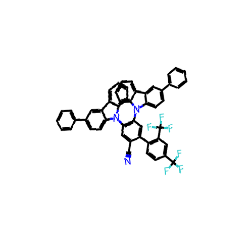 N#Cc1cc(-n2c3ccccc3c3cc(-c4ccccc4)ccc32)c(-n2c3ccccc3c3cc(-c4ccccc4)ccc32)cc1-c1ccc(C(F)(F)F)cc1C(F)(F)F